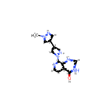 Cn1cc(-c2cnn(-c3nccc4c(=O)[nH]cnc34)c2)cn1